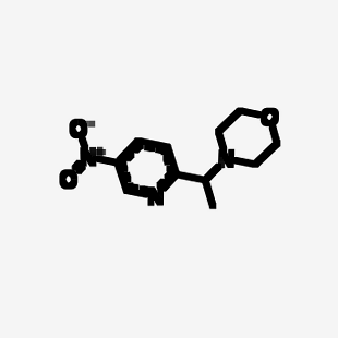 CC(c1ccc([N+](=O)[O-])cn1)N1CCOCC1